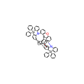 CC(C)c1cc2c3c(c1)C(C)c1ccc4c(c1)N(c1ccccc1[Si]4(c1ccccc1)c1ccccc1)c1cccc4c1B3c1c(cccc1N1c3ccccc3[Si](c3ccccc3)(c3ccccc3)c3ccc(cc31)C2C)O4